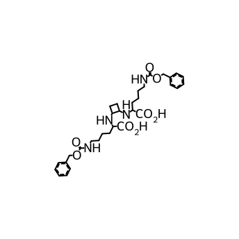 O=C(NCCCCC(NC1CCC1NC(CCCCNC(=O)OCc1ccccc1)C(=O)O)C(=O)O)OCc1ccccc1